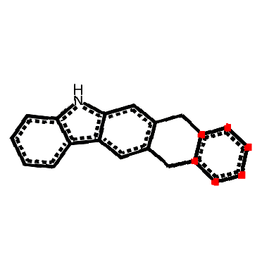 c1ccc2c(c1)C1c3ccccc3C2c2cc3c(cc21)[nH]c1ccccc13